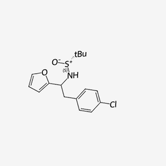 CC(C)(C)[S@@+]([O-])NC(Cc1ccc(Cl)cc1)c1ccco1